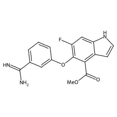 COC(=O)c1c(Oc2cccc(C(=N)N)c2)c(F)cc2[nH]ccc12